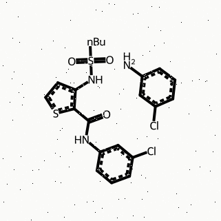 CCCCS(=O)(=O)Nc1ccsc1C(=O)Nc1cccc(Cl)c1.Nc1cccc(Cl)c1